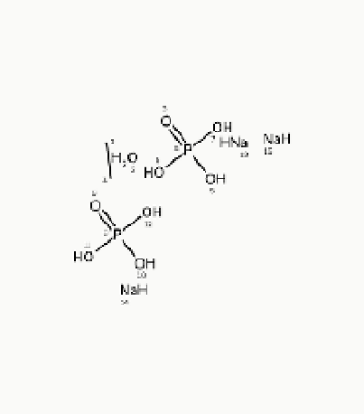 CC.O.O=P(O)(O)O.O=P(O)(O)O.[NaH].[NaH].[NaH]